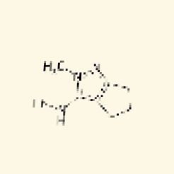 CCNc1c2c(nn1C)CCC2